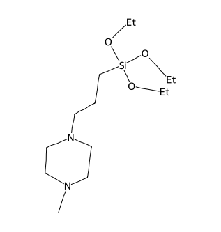 CCO[Si](CCCN1CCN(C)CC1)(OCC)OCC